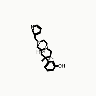 C[C@H]1CN2CCN(Cc3cccnc3)C[C@H]2CC1(C)c1cccc(O)c1